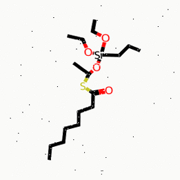 CCCCCCCC(=O)SC(C)O[Si](CCC)(OCC)OCC